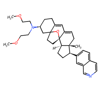 COCCN(CCOC)[C@H]1CCC2=CC3=CC[C@]4(C)[C@@H](c5ccc6ccncc6c5)CC[C@H]4[C@@]34CCC2(C1)O4